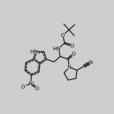 CC(C)(C)OC(=O)NC(Cc1c[nH]c2ccc([N+](=O)[O-])cc12)C(=O)N1CCCC1C#N